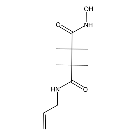 C=CCNC(=O)C(C)(C)C(C)(C)C(=O)NO